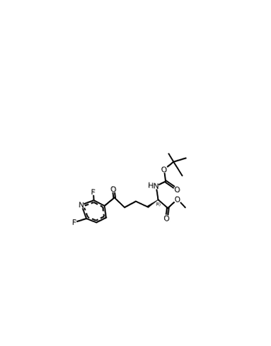 COC(=O)[C@@H](CCCC(=O)c1ccc(F)nc1F)NC(=O)OC(C)(C)C